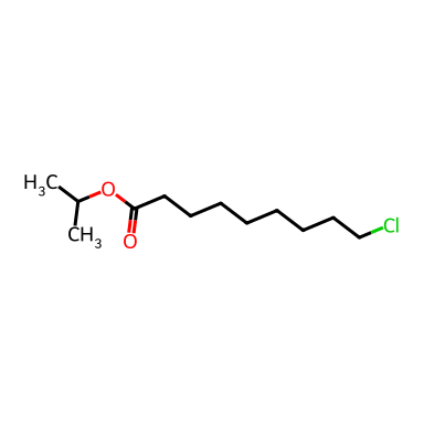 CC(C)OC(=O)CCCCCCCCCl